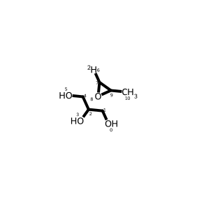 OCC(O)CO.[2H]C1OC1C